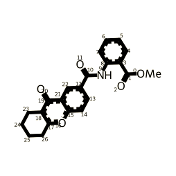 COC(=O)c1ccccc1NC(=O)c1ccc2oc3c(c(=O)c2c1)CCCC3